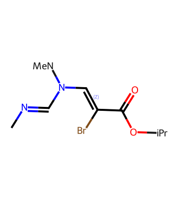 CN=CN(/C=C(\Br)C(=O)OC(C)C)NC